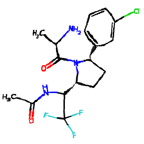 CC(=O)NC([C@H]1CC[C@@H](c2cccc(Cl)c2)N1C(=O)C(C)N)C(F)(F)F